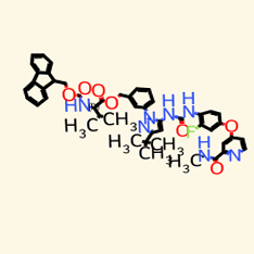 CNC(=O)c1cc(Oc2ccc(NC(=O)Nc3cc(C(C)(C)C)nn3-c3cccc(COC(=O)[C@H](NC(=O)OCC4c5ccccc5-c5ccccc54)C(C)C)c3)c(F)c2)ccn1